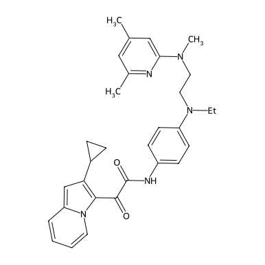 CCN(CCN(C)c1cc(C)cc(C)n1)c1ccc(NC(=O)C(=O)c2c(C3CC3)cc3ccccn23)cc1